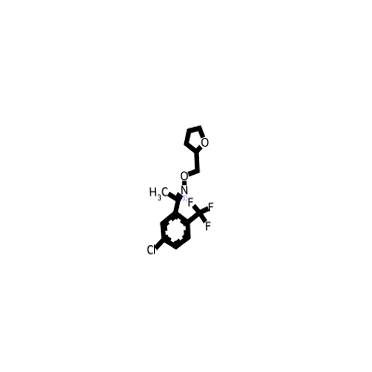 C/C(=N\OCC1CCCO1)c1cc(Cl)ccc1C(F)(F)F